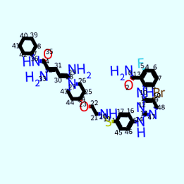 NC(=O)c1c(F)cccc1Nc1nc(Nc2ccc(SNCCOC3CCN(/C(N)=C/C=C(\N)C(=O)NC4CCCCC4)CC3)cc2)ncc1Br